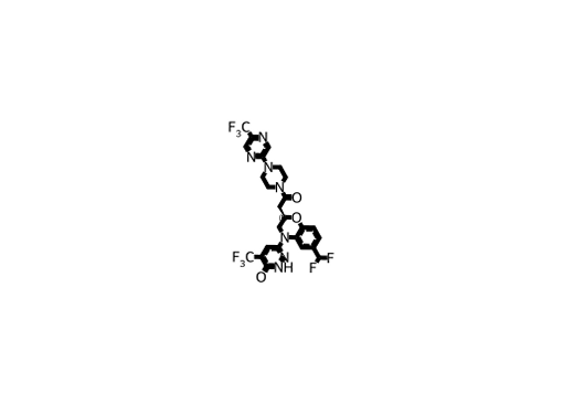 O=C(C[C@@H]1CN(c2cc(C(F)(F)F)c(=O)[nH]n2)c2cc(C(F)F)ccc2O1)N1CCN(c2cnc(C(F)(F)F)cn2)CC1